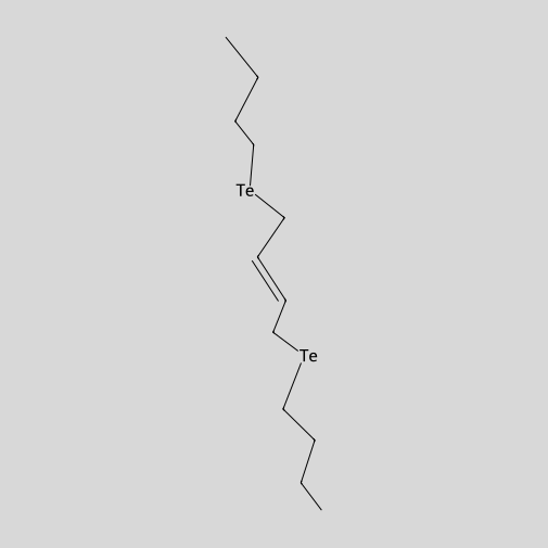 CCCC[Te]CC=CC[Te]CCCC